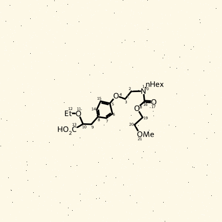 CCCCCCN(CCOc1ccc(CC(OCC)C(=O)O)cc1)C(=O)OCCOC